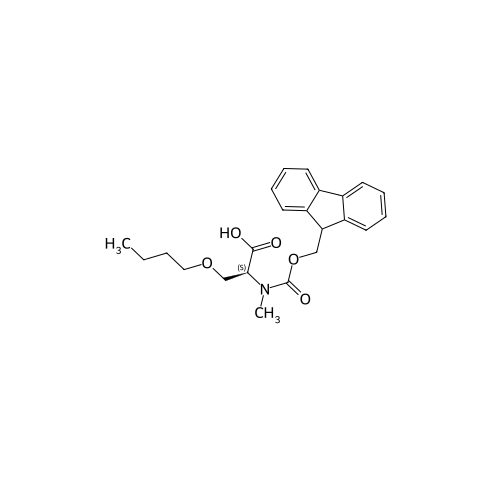 CCCCOC[C@@H](C(=O)O)N(C)C(=O)OCC1c2ccccc2-c2ccccc21